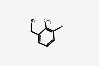 CCc1cccc(CC(C)C)c1C